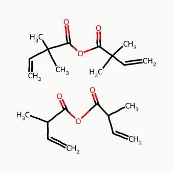 C=CC(C)(C)C(=O)OC(=O)C(C)(C)C=C.C=CC(C)C(=O)OC(=O)C(C)C=C